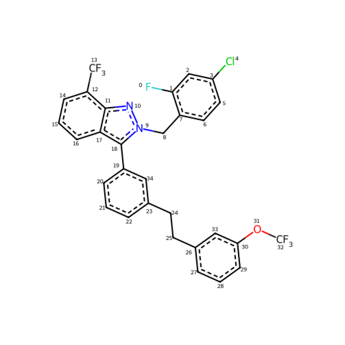 Fc1cc(Cl)ccc1Cn1nc2c(C(F)(F)F)cccc2c1-c1cccc(CCc2cccc(OC(F)(F)F)c2)c1